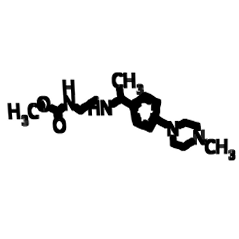 COC(=O)NCCNC(C)c1ccc(N2CCN(C)CC2)cc1